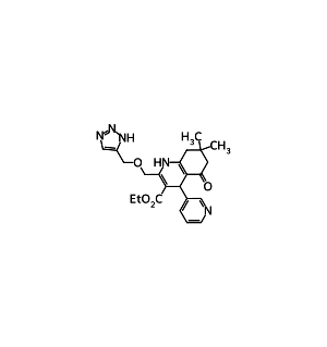 CCOC(=O)C1=C(COCc2cnn[nH]2)NC2=C(C(=O)CC(C)(C)C2)C1c1cccnc1